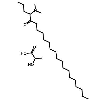 CC(O)C(=O)O.CCCCCCCCCCCCCCCCCC(=O)N(CCC)N(C)C